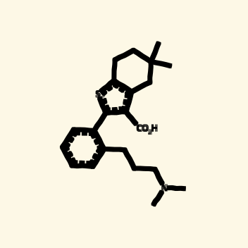 CN(C)CCCc1ccccc1-c1sc2c(c1C(=O)O)CC(C)(C)CC2